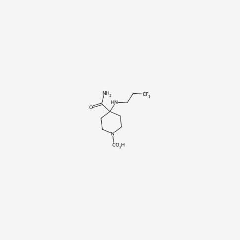 NC(=O)C1(NCCC(F)(F)F)CCN(C(=O)O)CC1